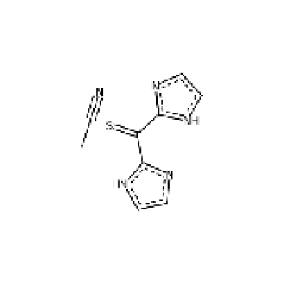 CC#N.S=C(c1ncc[nH]1)c1ncc[nH]1